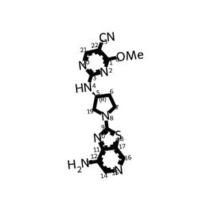 COc1nc(N[C@@H]2CCN(c3nc4c(N)cncc4s3)C2)ncc1C#N